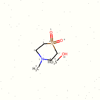 CN1CCS(=O)(=O)CC1.O=S(=O)(O)O